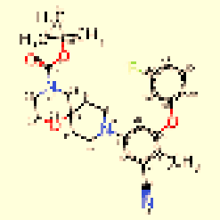 Cc1c(C#N)cc(N2CCC3(CC2)CN(C(=O)OC(C)(C)C)CCO3)cc1Oc1cccc(F)c1